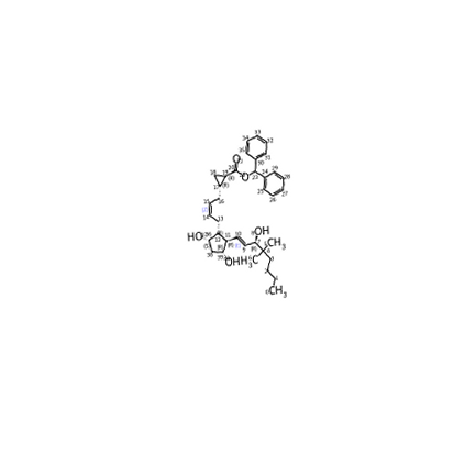 CCCCC(C)(C)[C@H](O)/C=C/[C@@H]1[C@@H](C/C=C\C[C@@H]2C[C@H]2C(=O)OC(c2ccccc2)c2ccccc2)[C@@H](O)C[C@H]1O